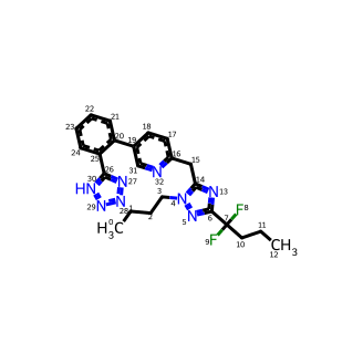 CCCCn1nc(C(F)(F)CCC)nc1Cc1ccc(-c2ccccc2-c2nnn[nH]2)cn1